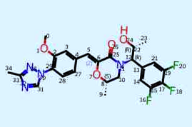 COc1cc(/C=C2\O[C@@H](C)CN([C@H](c3cc(F)c(F)c(F)c3)[C@@H](C)O)C2=O)ccc1-n1cnc(C)n1